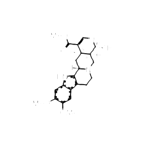 COC(=O)C1=CO[C@H](C)[C@H]2CN3CCc4c([nH]c5cc(OC)c(OC)cc45)[C@@H]3C[C@@H]12